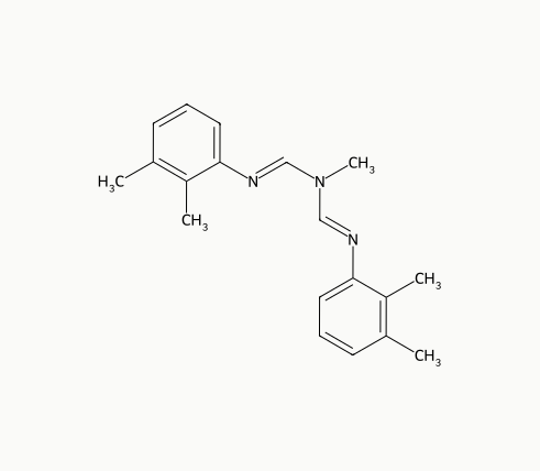 Cc1cccc(N=CN(C)C=Nc2cccc(C)c2C)c1C